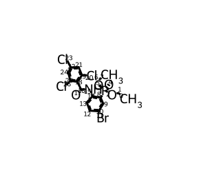 CCOP(=O)(OCC)c1cc(Br)ccc1NC(=O)c1c(Cl)cc(Cl)cc1Cl